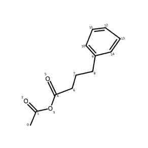 CC(=O)OC(=O)C[CH]Cc1ccccc1